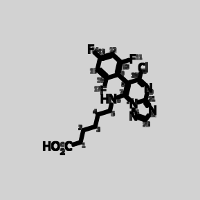 O=C(O)CCCCCNc1c(-c2c(F)cc(F)cc2F)c(Cl)nc2ncnn12